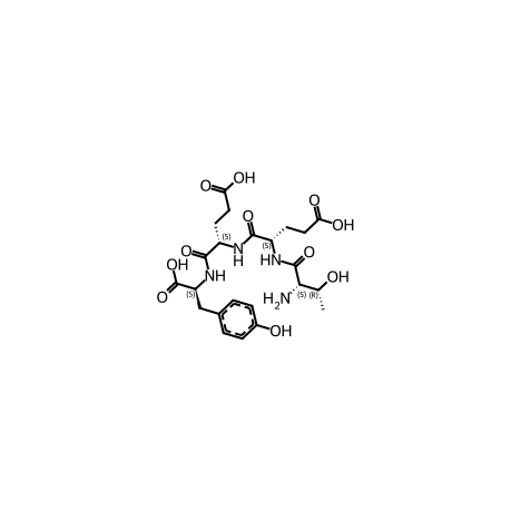 C[C@@H](O)[C@H](N)C(=O)N[C@@H](CCC(=O)O)C(=O)N[C@@H](CCC(=O)O)C(=O)N[C@@H](Cc1ccc(O)cc1)C(=O)O